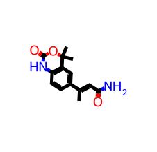 CC(=CC(N)=O)c1ccc2c(c1)C(C)(C)OC(=O)N2